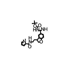 Cn1cccc1C(=O)NCCC1COc2ccc(C(=N)NC(=O)OC(C)(C)C)cc21